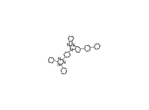 c1ccc(-c2ccc(-c3ccc4c(c3)n3c5ccccc5nc3n4-c3ccc(-c4nc(-c5ccccc5)nc(-c5ccccc5)n4)cc3)cc2)cc1